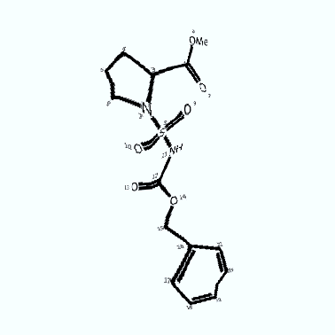 COC(=O)C1CCCN1S(=O)(=O)NC(=O)OCc1ccccc1